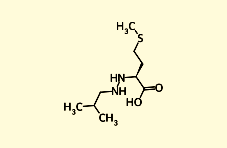 CSCC[C@H](NNCC(C)C)C(=O)O